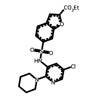 CCOC(=O)c1cc2ccc(S(=O)(=O)Nc3cc(Cl)cnc3N3CCCCC3)cc2o1